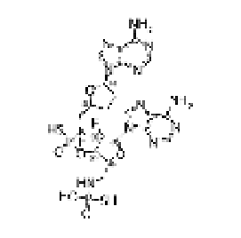 Nc1ncnc2c1ncn2[C@@H]1O[C@H](CNP(=O)(O)S)[C@@H](OP(=O)(S)NC[C@@H]2CC[C@H](n3cnc4c(N)ncnc43)O2)[C@H]1F